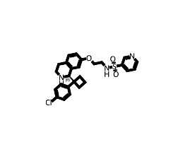 O=S(=O)(NCCOc1ccc2c(c1)[C@@H](C1(c3ccc(Cl)cc3)CCC1)NCC2)c1cccnc1